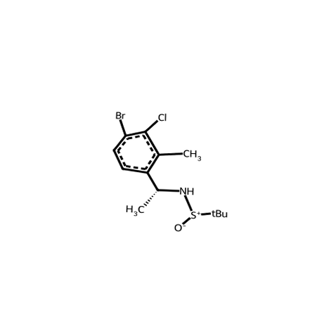 Cc1c([C@@H](C)N[S+]([O-])C(C)(C)C)ccc(Br)c1Cl